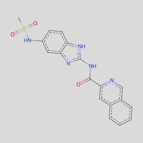 CS(=O)(=O)Nc1ccc2[nH]c(NC(=O)c3cc4ccccc4cn3)nc2c1